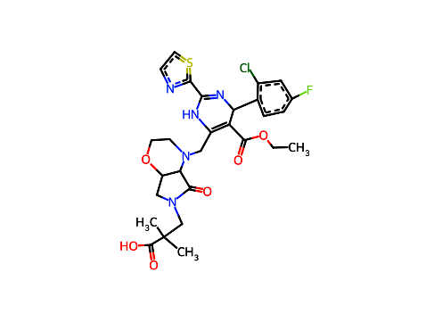 CCOC(=O)C1=C(CN2CCOC3CN(CC(C)(C)C(=O)O)C(=O)C32)NC(c2nccs2)=NC1c1ccc(F)cc1Cl